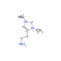 CCCCN1C=C(CCN)N(C)C1